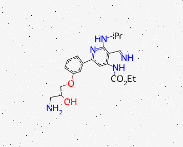 CCOC(=O)Nc1cc(-c2cccc(OCC(O)CN)c2)nc(NC(C)C)c1C=N